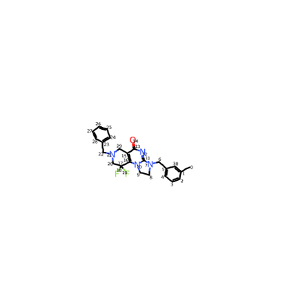 Cc1cccc(CN2CCn3c2nc(=O)c2c3C(F)(F)CN(Cc3ccccc3)C2)c1